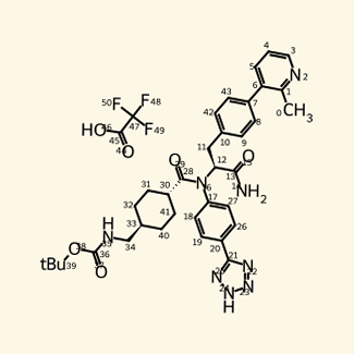 Cc1ncccc1-c1ccc(C[C@@H](C(N)=O)N(c2ccc(-c3nn[nH]n3)cc2)C(=O)[C@H]2CC[C@H](CNC(=O)OC(C)(C)C)CC2)cc1.O=C(O)C(F)(F)F